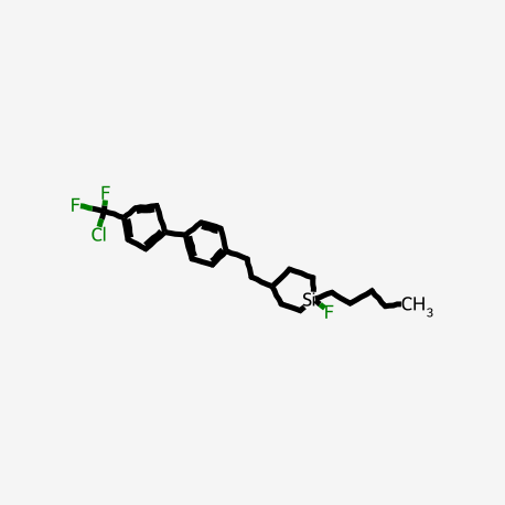 CCCCC[Si]1(F)CCC(CCc2ccc(-c3ccc(C(F)(F)Cl)cc3)cc2)CC1